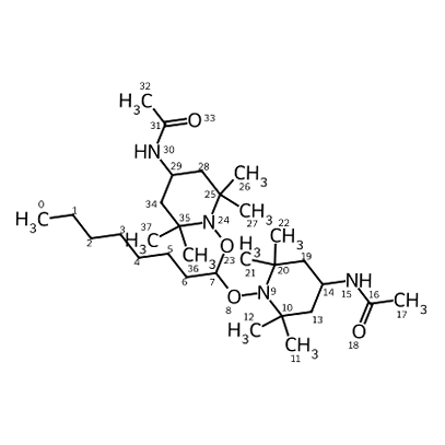 CCCCCCCC(ON1C(C)(C)CC(NC(C)=O)CC1(C)C)ON1C(C)(C)CC(NC(C)=O)CC1(C)C